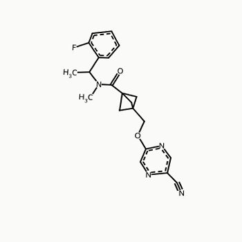 CC(c1ccccc1F)N(C)C(=O)C12CC(COc3cnc(C#N)cn3)(C1)C2